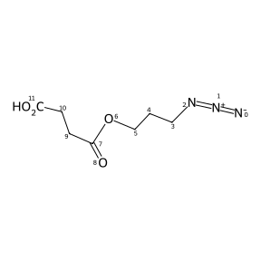 [N-]=[N+]=NCCCOC(=O)CCC(=O)O